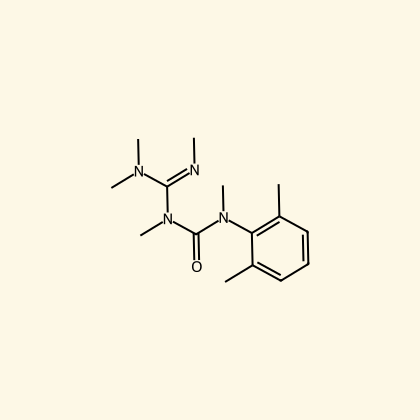 CN=C(N(C)C)N(C)C(=O)N(C)c1c(C)cccc1C